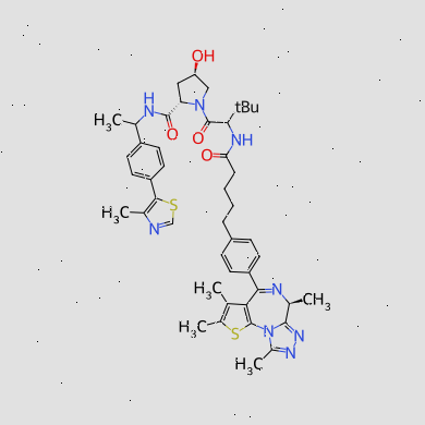 Cc1ncsc1-c1ccc(C(C)NC(=O)[C@@H]2C[C@@H](O)CN2C(=O)C(NC(=O)CCCCc2ccc(C3=N[C@@H](C)c4nnc(C)n4-c4sc(C)c(C)c43)cc2)C(C)(C)C)cc1